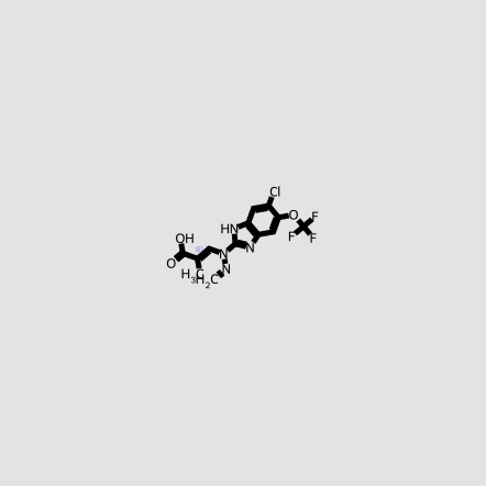 C=NN(/C=C(\C)C(=O)O)c1nc2cc(OC(F)(F)F)c(Cl)cc2[nH]1